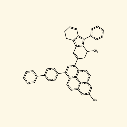 CC1CC(c2cc(-c3ccc(-c4cccnc4)cc3)c3ccc4cc(C(C)(C)C)cc5ccc2c3c54)=Cc2c3c(n(-c4ccccc4)c21)C=CCC3